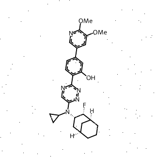 COc1cc(-c2ccc(-c3ncc(N(C4CC4)[C@H]4C[C@@H]5CCC[C@@H](C5)[C@H]4F)nn3)c(O)c2)cnc1OC